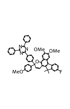 COc1ccc(C2(c3ccc(-c4nc(-c5ccccc5)nc(-c5ccccc5)n4)cc3)C=Cc3c4c(c5cc(OC)c(OC)cc5c3O2)-c2ccc(F)cc2C4(C)C)cc1